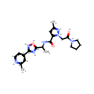 CC(NC(=O)c1cc(C(F)(F)F)nn1CC(=O)N1CCCC1)c1nc(-c2ccnc(C(F)(F)F)c2)no1